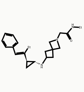 CCNC(=O)CN1CC2(CC(N[C@@H]3C[C@H]3/C(=C/c3ccccc3)CC)C2)C1